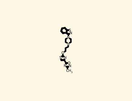 Cc1noc(-c2csc(OCCCN3CCN(c4nsc5ccccc45)CC3)n2)n1